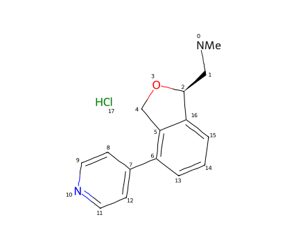 CNC[C@@H]1OCc2c(-c3ccncc3)cccc21.Cl